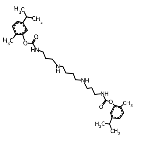 Cc1ccc(C(C)C)cc1OC(=O)NCCCNCCCCNCCCNC(=O)Oc1cc(C(C)C)ccc1C